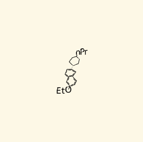 CCC[C@H]1CC[C@H](c2ccc3cc(OCC)ccc3c2)CC1